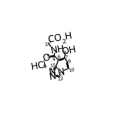 Cl.O=C(O)CNC(=O)c1c(O)ccn2cnnc12